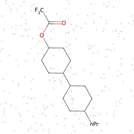 CCCC1CCC(C2CCC(OC(=O)C(F)(F)F)CC2)CC1